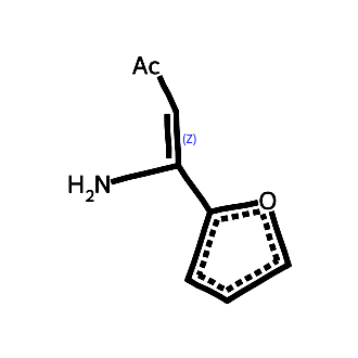 CC(=O)/C=C(\N)c1ccco1